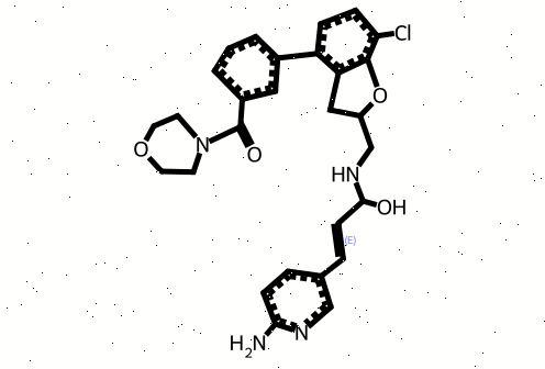 Nc1ccc(/C=C/C(O)NCC2Cc3c(-c4cccc(C(=O)N5CCOCC5)c4)ccc(Cl)c3O2)cn1